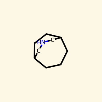 C1CC2CCC(C1)CNC2